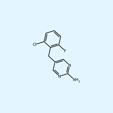 Nc1ncc(Cc2c(F)cccc2Cl)cn1